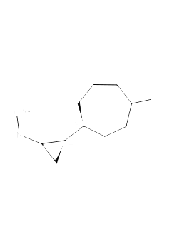 CCCCCNC1C[C@@H]1[C@H]1CCCC(CC)CC1